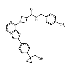 Cc1ccc(CNC(=O)C2CN(c3ncnn4cc(-c5ccc(C6(CO)CC6)cc5)cc34)C2)cc1